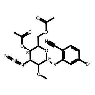 COC1C(N=[N+]=[N-])[C@@H](OC(C)=O)C(COC(C)=O)O[C@@H]1Sc1cc(Br)ccc1C#N